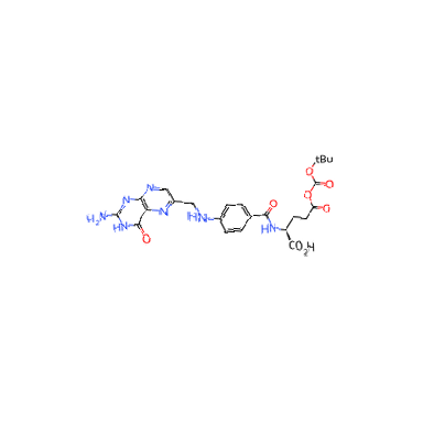 CC(C)(C)OC(=O)OC(=O)CC[C@H](NC(=O)c1ccc(NCc2cnc3nc(N)[nH]c(=O)c3n2)cc1)C(=O)O